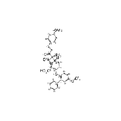 COc1ccc(SCC(=O)C2(N)C(=O)N3C(C(=O)O)=C(Sc4ccc(OC(F)(F)F)cc4-c4ccccc4)CS[C@H]32)cc1